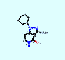 CNc1nn(C2CCCCC2)c2cc[nH]c(=O)c12